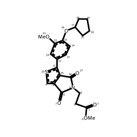 COC(=O)CCN1C(=O)c2csc(-c3ccc(OC4CCCC4)c(OC)c3)c2C1=O